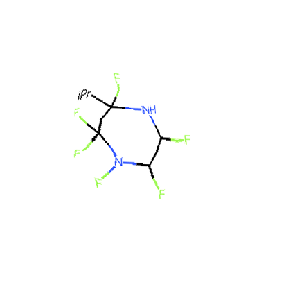 CC(C)C1(F)NC(F)C(F)N(F)C1(F)F